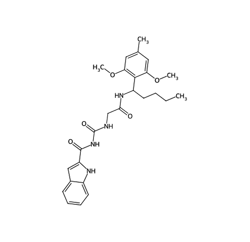 CCCCC(NC(=O)CNC(=O)NC(=O)c1cc2ccccc2[nH]1)c1c(OC)cc(C)cc1OC